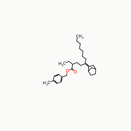 CCCCCCCC(CCC(CC)C(=O)OCc1ccc(C)cc1)=C1CC2CCC1C2